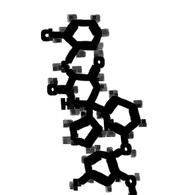 COc1cc(F)ccc1Oc1cccc(C2(c3ccsc3)CC(=O)C(Sc3ccccc3Cl)C(=O)N2)n1